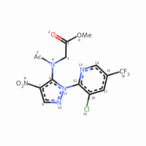 COC(=O)CN(C(C)=O)c1c([N+](=O)[O-])cnn1-c1ncc(C(F)(F)F)cc1Cl